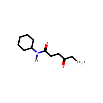 CCN(C(=O)CCC(=O)CC(=O)O)C1CCCCC1